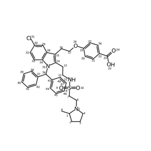 CC1CCCN1CCS(=O)(=O)NCCc1c(CCOc2ccc(C(=O)O)cc2)c2cc(Cl)ccc2n1C(c1ccccc1)c1ccccc1